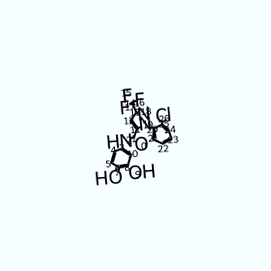 O=C(Nc1ccc(O)c(O)c1)c1cc(C(F)(F)F)nn1-c1ccccc1Cl